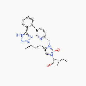 CCCCc1cn(C2C(=O)CC2CC)c(=O)n1Cc1ccc(-c2ccccc2-c2nnn[nH]2)cn1